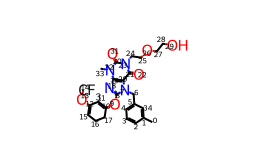 Cc1cccc(Cn2c(OC3=CC(OC(F)(F)F)=CCC3)nc3c2c(=O)n(CCOCCO)c(=O)n3C)c1